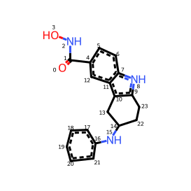 O=C(NO)c1ccc2[nH]c3c(c2c1)CC(Nc1ccccc1)CC3